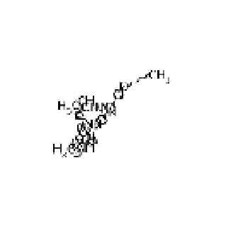 CCCCCCCOc1ccc(-c2cnc(-c3ccc(C[C@H](NC(=O)c4ccc(C(C)(C)C)s4)C(=O)N4CCC[C@H]4C(=O)NS(C)(=O)=O)cc3)nc2)cc1